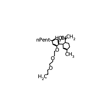 C=CCOCCOCCOc1cc(CCCCC)cc(O)c1C1C=C(C)CCC1C(=C)C